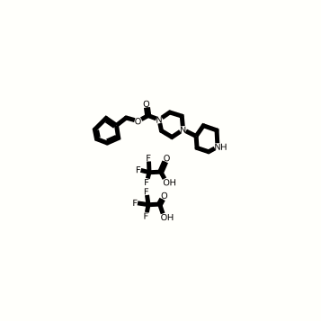 O=C(O)C(F)(F)F.O=C(O)C(F)(F)F.O=C(OCc1ccccc1)N1CCN(C2CCNCC2)CC1